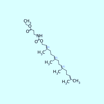 CCOC(=O)CCNC(=O)OC/C=C(\C)CC/C=C(\C)CC/C=C(\C)CCC=C(C)C